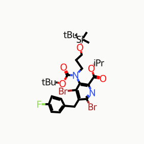 CC(C)OC(=O)c1nc(Br)c(Cc2ccc(F)cc2)c(Br)c1N(CCCO[Si](C)(C)C(C)(C)C)C(=O)OC(C)(C)C